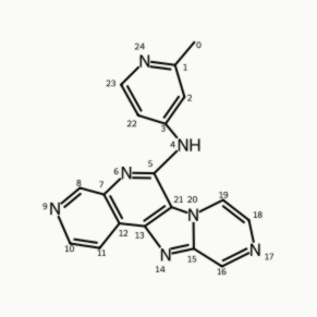 Cc1cc(Nc2nc3cnccc3c3nc4cnccn4c23)ccn1